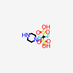 C1CNCCN1.O=S(=O)(O)C(F)(F)S(=O)(=O)O